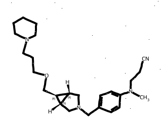 CN(CCC#N)c1ccc(CN2C[C@@H]3[C@@H](COCCCN4CCCCC4)[C@@H]3C2)cc1